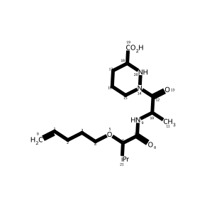 C=CCCCOC(C(=O)NC(C)C(=O)N1CCCC(C(=O)O)N1)C(C)C